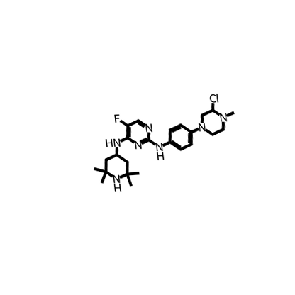 CN1CCN(c2ccc(Nc3ncc(F)c(NC4CC(C)(C)NC(C)(C)C4)n3)cc2)CC1Cl